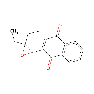 CCC12CCC3=C(C(=O)c4ccccc4C3=O)C1O2